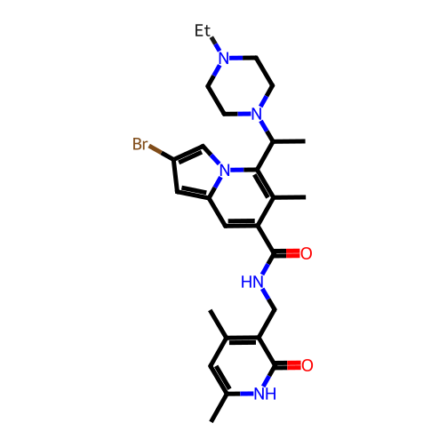 CCN1CCN(C(C)c2c(C)c(C(=O)NCc3c(C)cc(C)[nH]c3=O)cc3cc(Br)cn23)CC1